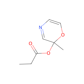 CCC(=O)OC1(C)C=NC=CO1